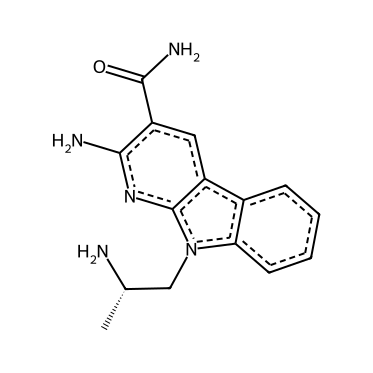 C[C@H](N)Cn1c2ccccc2c2cc(C(N)=O)c(N)nc21